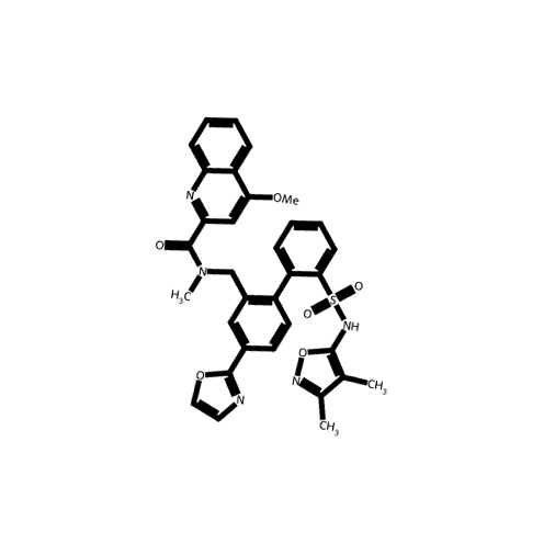 COc1cc(C(=O)N(C)Cc2cc(-c3ncco3)ccc2-c2ccccc2S(=O)(=O)Nc2onc(C)c2C)nc2ccccc12